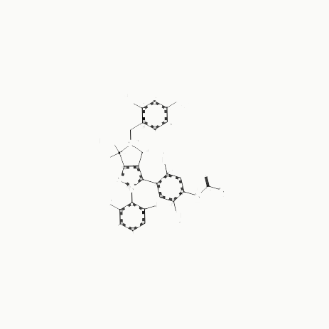 CCc1cccc(CC)c1-n1nc2c(c1-c1cc(C)c(NC(N)=O)cc1F)CN(Cc1ccc(C(F)(F)F)cc1C(F)(F)F)C2(C)C